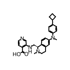 CN(c1ccc(C2CCC2)cc1)c1ccc2c(c1)CCN(C)[C@H]2CNc1cnccc1C(=O)O